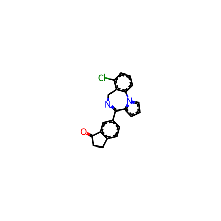 O=C1CCc2ccc(C3=NCc4c(Cl)cccc4-n4cccc43)cc21